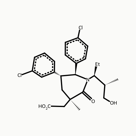 CC[C@@H]([C@H](C)CO)N1C(=O)[C@@](C)(CC(=O)O)C[C@H](c2cccc(Cl)c2)[C@H]1c1ccc(Cl)cc1